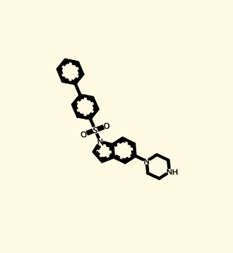 O=S(=O)(c1ccc(-c2ccccc2)cc1)n1ccc2cc(N3CCNCC3)ccc21